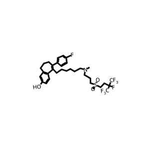 CN(CCCCCCC1=C(c2ccc(F)cc2)CCCc2cc(O)ccc21)CCCS(=O)(=O)CCC(F)(C(F)(F)F)C(F)(F)F